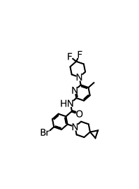 Cc1ccc(NC(=O)c2ccc(Br)cc2N2CCC3(CC2)CC3)nc1N1CCC(F)(F)CC1